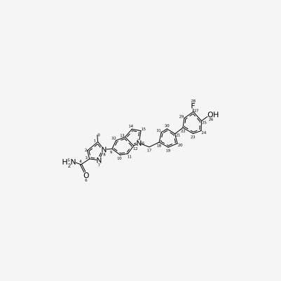 Cc1cc(C(N)=O)nn1-c1ccc2c(ccn2Cc2ccc(-c3ccc(O)c(F)c3)cc2)c1